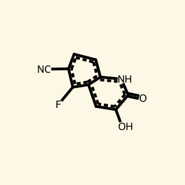 N#Cc1ccc2[nH]c(=O)c(O)cc2c1F